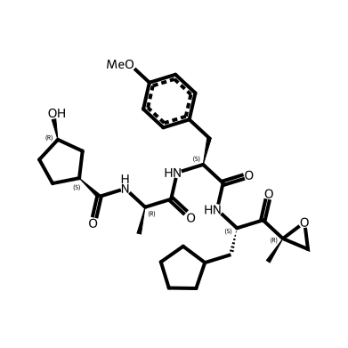 COc1ccc(C[C@H](NC(=O)[C@@H](C)NC(=O)[C@H]2CC[C@@H](O)C2)C(=O)N[C@@H](CC2CCCC2)C(=O)[C@@]2(C)CO2)cc1